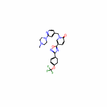 CN1CCN(c2cc(Cn3cc(-c4nc(C5=CC=C(OC(F)(F)F)CC5)no4)ccc3=O)ccn2)CC1